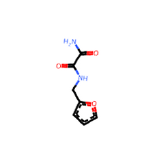 NC(=O)C(=O)NCc1ccco1